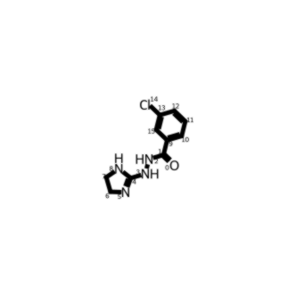 O=C(NNC1=NCCN1)c1cccc(Cl)c1